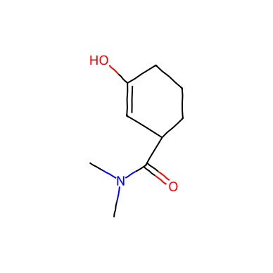 CN(C)C(=O)C1C=C(O)CCC1